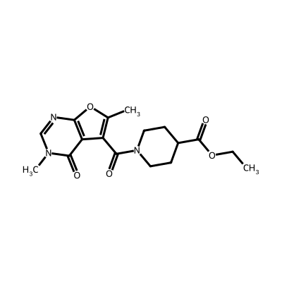 CCOC(=O)C1CCN(C(=O)c2c(C)oc3ncn(C)c(=O)c23)CC1